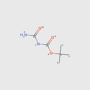 CC(C)(C)OC(=O)[N]C(N)=O